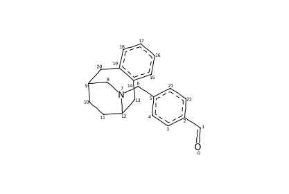 O=Cc1ccc(CN2CC3CCC2Cc2ccccc2C3)cc1